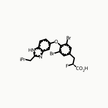 CC(C)Cc1nc2cc(Oc3c(Br)cc(C[C@H](F)C(=O)O)cc3Br)ccc2[nH]1